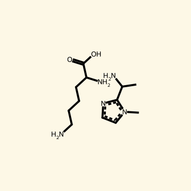 CC(N)c1nccn1C.NCCCCC(N)C(=O)O